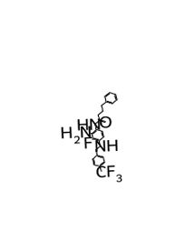 Nc1c(NC(=O)CCCc2ccccc2)ccc(NCc2ccc(C(F)(F)F)cc2)c1F